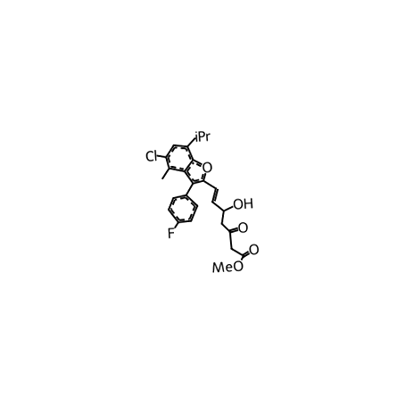 COC(=O)CC(=O)CC(O)C=Cc1oc2c(C(C)C)cc(Cl)c(C)c2c1-c1ccc(F)cc1